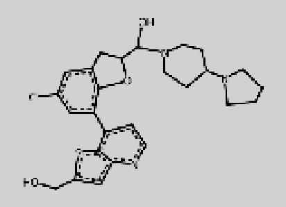 OCc1cc2nccc(-c3cc(Cl)cc4c3OC(C(O)N3CCC(N5CCCC5)CC3)C4)c2s1